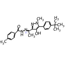 C/C(=N\NC(=O)c1ccc(C)cc1)c1nn(C)c(-c2ccc(C(C)(C)C)cc2)c1O